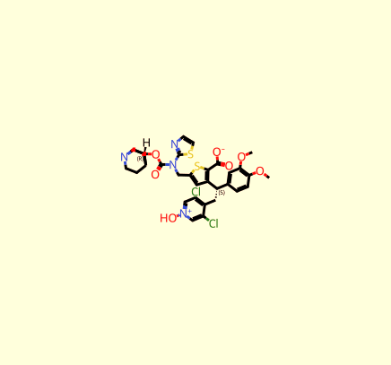 COc1ccc([C@H](Cc2c(Cl)c[n+](O)cc2Cl)c2cc(CN(C(=O)O[C@H]3CN4CCC3CC4)c3nccs3)sc2C(=O)[O-])cc1OC